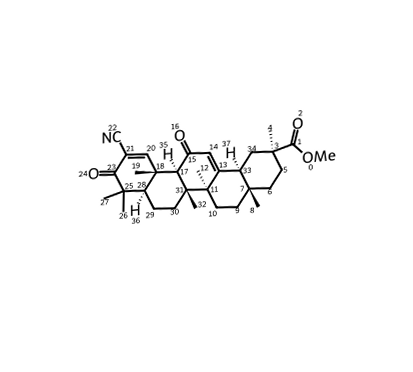 COC(=O)[C@@]1(C)CC[C@]2(C)CC[C@]3(C)C(=CC(=O)[C@@H]4[C@@]5(C)C=C(C#N)C(=O)C(C)(C)[C@@H]5CC[C@]43C)[C@H]2C1